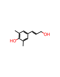 Cc1cc(/C=C/CO)cc(C)c1O